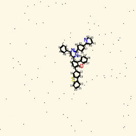 c1ccc(-c2cc(-c3ccc(-c4ccc5c(c4)sc4ccccc45)c4oc5ccccc5c34)nc(-c3ccc(-c4ccccn4)cc3)n2)cc1